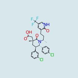 C[C@@H](CCc1cc(C(F)(F)F)c[nH]c1=O)N1C(=O)[C@@](C)(CC(=O)O)C[C@H](c2cccc(Cl)c2)[C@H]1c1ccc(Cl)cc1